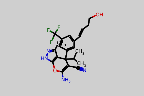 Cc1n[nH]c2c1C(c1cc(C=CCCO)cc(C(F)(F)F)c1)(C(C)C)C(C#N)=C(N)O2